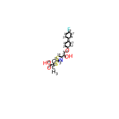 CC(C)(Sc1nc([C@H](O)COc2ccc(-c3ccc(F)cc3)cc2)cs1)C(=O)O